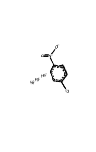 F.F.F.O=[N+]([O-])c1ccc(Cl)cc1